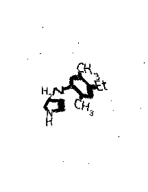 C1CCNC1.CCc1cc(C)c(N)cc1C